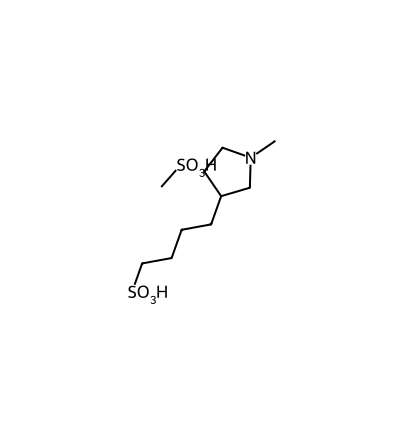 CN1CCC(CCCCS(=O)(=O)O)C1.CS(=O)(=O)O